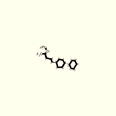 CCCOC(CCC[C@H]1CC[C@H](C2CCCCC2)CC1)C(F)(F)F